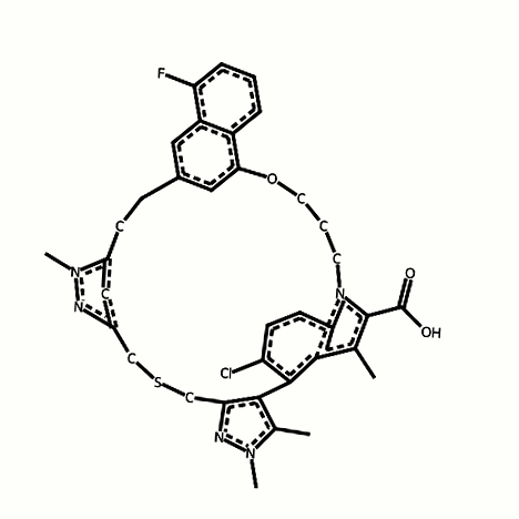 Cc1c(C(=O)O)n2c3ccc(Cl)c(c13)-c1c(nn(C)c1C)CSCc1cc(n(C)n1)CCc1cc(c3cccc(F)c3c1)OCCC2